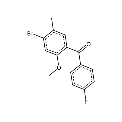 COc1cc(Br)c(C)cc1C(=O)c1ccc(F)cc1